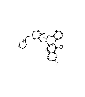 Cc1ncccc1-n1c(CCc2cc(CN3CCCC3)ccc2F)nc2ccc(F)cc2c1=O